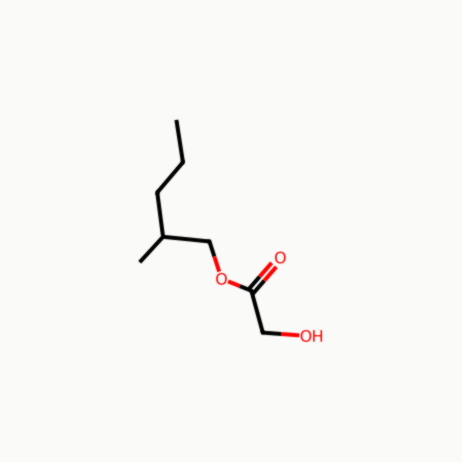 CCCC(C)COC(=O)CO